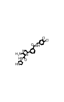 Nc1ncc(-c2cccc(C(=O)NCc3ccc(Cl)c(Cl)c3)c2)nc1C(=O)N[C@H]1CCNC1